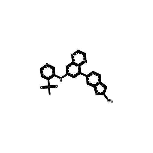 CS(=O)(=O)c1ccncc1Nc1cc(-c2ccc3cc(N)sc3c2)c2nccnc2c1